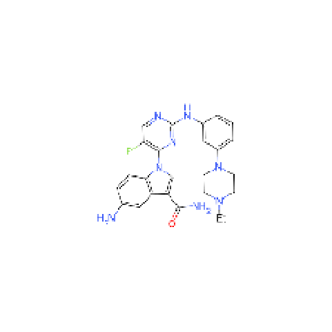 CCN1CCN(c2cccc(Nc3ncc(F)c(-n4cc(C(N)=O)c5cc(N)ccc54)n3)c2)CC1